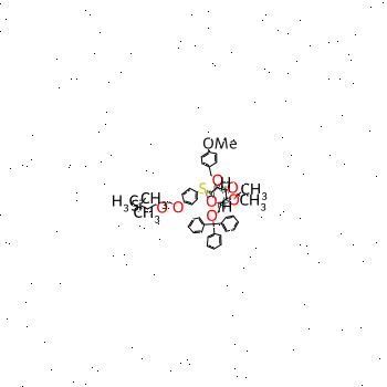 COc1ccc(CO[C@@H]2[C@H]3OC(C)(C)O[C@H]3[C@@H](COC(c3ccccc3)(c3ccccc3)c3ccccc3)O[C@H]2Sc2ccc(OCOCC[Si](C)(C)C)cc2)cc1